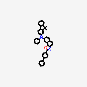 CC1(C)c2ccccc2-c2ccc(N(c3ccccc3)c3ccc4ccc5nc(-c6ccc(-c7ccccc7)cc6)oc5c4c3)cc21